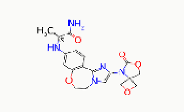 C[C@H](Nc1ccc2c(c1)OCCn1cc(N3C(=O)OCC34COC4)nc1-2)C(N)=O